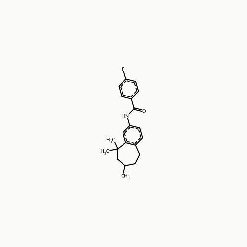 CC1CCc2ccc(NC(=O)c3ccc(F)cc3)cc2C(C)(C)C1